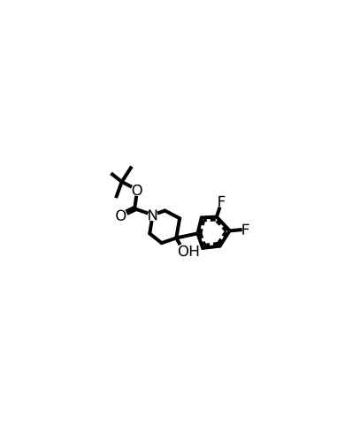 CC(C)(C)OC(=O)N1CCC(O)(c2ccc(F)c(F)c2)CC1